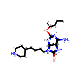 CCC[C@H](C)Oc1nc(N)c2[nH]c(=O)n(CCCCC3CCNCC3)c2n1